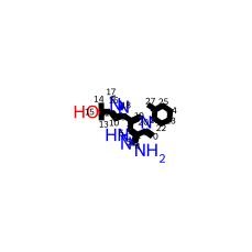 C=C1c2c(N)n[nH]c2C(c2cc(C(C)(C)O)n(C)n2)=CN1C1CCCCC1C